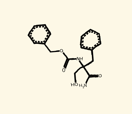 NC(=O)C(CO)(Cc1ccccc1)NC(=O)OCc1ccccc1